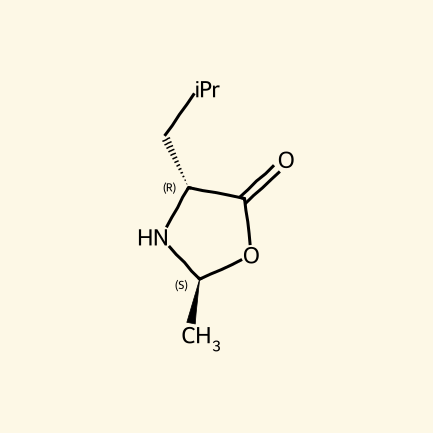 CC(C)C[C@H]1N[C@H](C)OC1=O